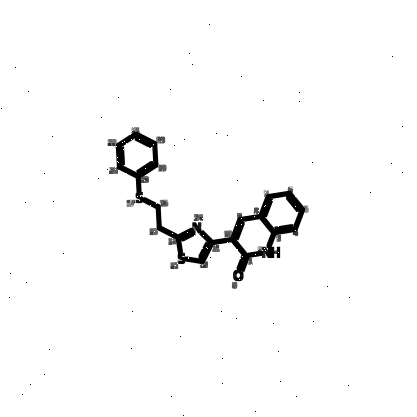 O=c1[nH]c2ccccc2cc1-c1csc(CCSc2ccccc2)n1